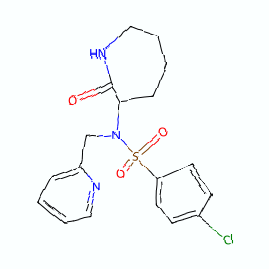 O=C1NCCCCC1N(Cc1ccccn1)S(=O)(=O)c1ccc(Cl)cc1